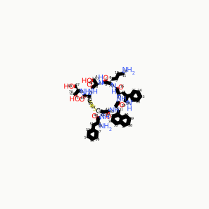 C[C@@H](O)[C@@H]1NC(=O)[C@H](CCCCN)NC(=O)[C@@H](Cc2c[nH]c3ccccc23)NC(=O)[C@H](Cc2cccc3ccccc23)NC(=O)[C@@H](NC(=O)[C@H](N)Cc2ccccc2)CSSC[C@@H](C(=O)N[C@H](CO)[C@@H](C)O)NC1=O